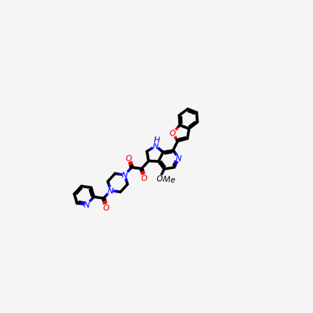 COc1cnc(-c2cc3ccccc3o2)c2c1C(C(=O)C(=O)N1CCN(C(=O)c3ccccn3)CC1)CN2